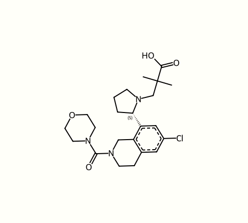 CC(C)(CN1CCC[C@H]1c1cc(Cl)cc2c1CN(C(=O)N1CCOCC1)CC2)C(=O)O